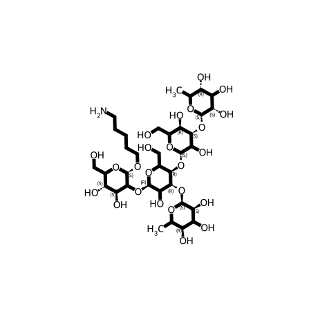 CC1O[C@@H](O[C@@H]2C(O)[C@H](O[C@@H]3C(CO)O[C@H](OC4[C@@H](OCCCCCN)OC(CO)[C@@H](O)[C@@H]4O)C(O)[C@H]3O[C@@H]3OC(C)[C@H](O)C(O)[C@@H]3O)OC(CO)[C@H]2O)[C@@H](O)C(O)[C@H]1O